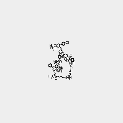 CN(CC[C@H](CSc1ccccc1)Nc1ccc(S(=O)(=O)NC(=O)c2ccc(N3CCN(CC4=C(c5ccc(Cl)cc5)CCC(C)(C)C4)CC3)cc2)cc1S(=O)(=O)C(F)(F)F)C(=O)CCCCCCn1cc(COCCOCCNc2cccc3c2C(=O)N(C2CCC(=O)NC2=O)C3=O)nn1